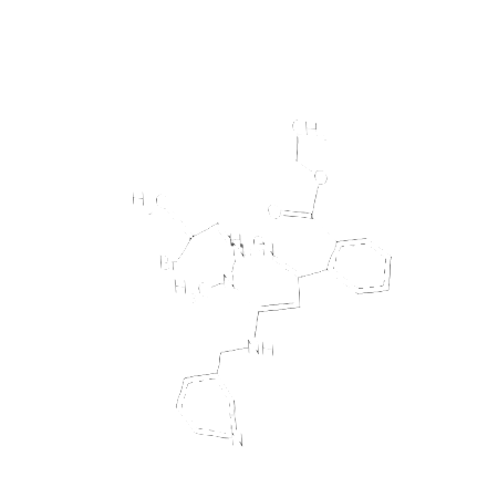 C=C(Br)/C=N\N(C)/C(=C\C(=N/C)c1ccccc1C(=O)OCC)NCc1cccnc1